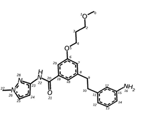 COCCCOc1cc(CCc2cccc(N)c2)cc(C(=O)Nc2ccn(C)n2)c1